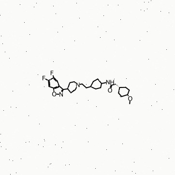 CO[C@H]1CC[C@H](CC(=O)NC2CCC(CCN3CCC(c4noc5cc(F)c(F)cc45)CC3)CC2)CC1